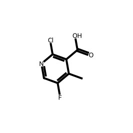 Cc1c(F)cnc(Cl)c1C(=O)O